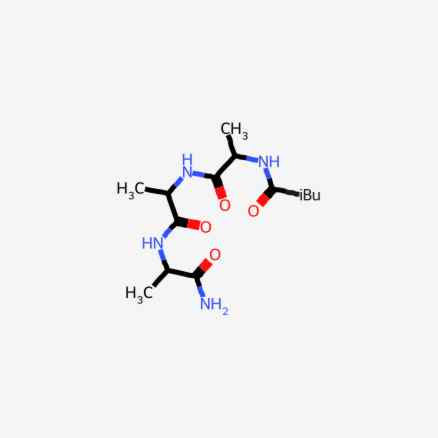 CCC(C)C(=O)NC(C)C(=O)NC(C)C(=O)NC(C)C(N)=O